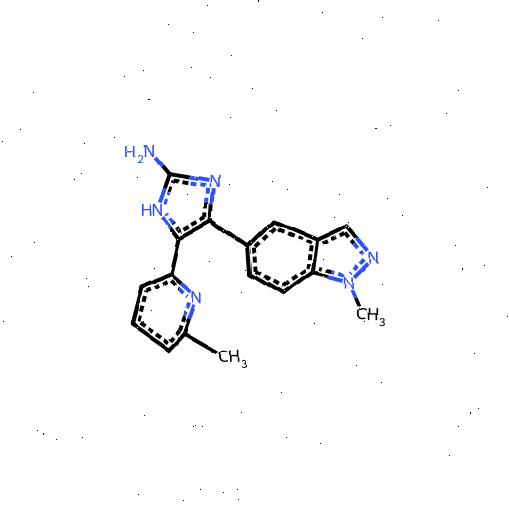 Cc1cccc(-c2[nH]c(N)nc2-c2ccc3c(cnn3C)c2)n1